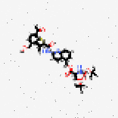 COCc1ccc(C(C)=O)c2sc(C(=O)Nc3ccc4c(COC(=O)C(COC(C)(C)C)NC(=O)OC(C)(C)C)cccc4n3)c(C)c12